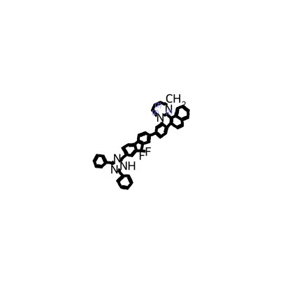 C=C1/C=C\C=C/N2/C(=N\1)c1c(ccc3ccccc13)-c1ccc(-c3ccc4c(c3)C(F)(F)c3cc(C5N=C(c6ccccc6)N=C(c6ccccc6)N5)ccc3-4)cc12